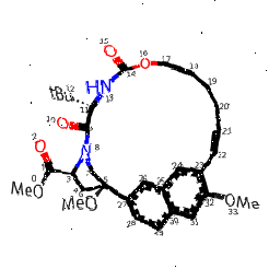 COC(=O)[C@@H]1C[C@]2(OC)CN1C(=O)[C@H](C(C)(C)C)NC(=O)OCCCCC=Cc1cc3cc2ccc3cc1OC